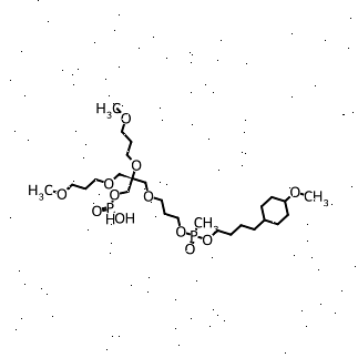 COCCCOC[C@@](COCCCOP(C)(=O)OCCCCC1CCC(OC)CC1)(CO[PH](=O)O)OCCCOC